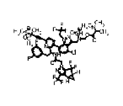 CC(C(=O)OCN(Cc1nn(CC(F)(F)F)c2c(-c3ccc(C#CC(C)(C)S(C)(=O)=O)nc3C(Cc3cc(F)cc(F)c3)NC(=O)Cn3nc(C(F)(F)F)c4c3C(F)(F)[C@@H]3C[C@H]43)ccc(Cl)c12)[SH](=O)=O)N(C)C